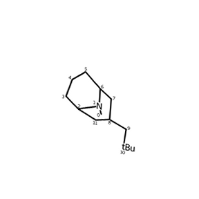 CN1C2CCCC1CC(CC(C)(C)C)C2